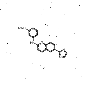 CC(=O)Nc1cccc(Nc2ncc3cc(-c4nccs4)ccc3n2)c1